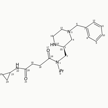 CC(C)N(C[C@@H]1CN(Cc2ccccc2)CCN1)C(=O)CCC(=O)NC1CC1